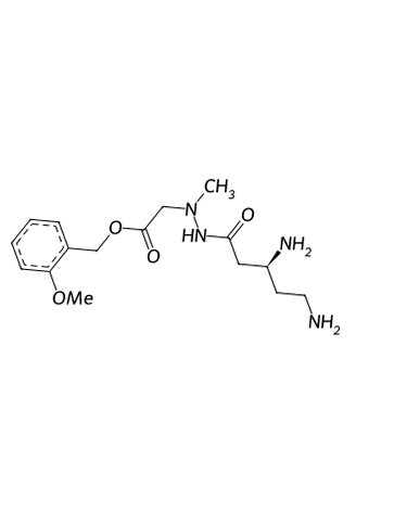 COc1ccccc1COC(=O)CN(C)NC(=O)C[C@@H](N)CCN